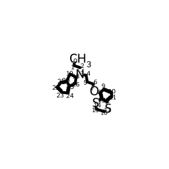 CCCN(CCCOc1cccc2c1SCCS2)C1Cc2ccccc2C1